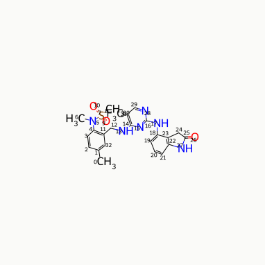 Cc1ccc(N(C)S(C)(=O)=O)c(CNc2nc(Nc3cccc4c3CC(=O)N4)ncc2C(F)(F)F)c1